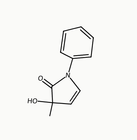 CC1(O)C=CN(c2ccccc2)C1=O